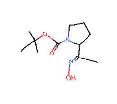 C/C(=N\O)C1CCCN1C(=O)OC(C)(C)C